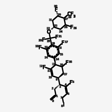 C=CC[C@@H](/C(F)=C\CI)[C@H]1C=C(F)[C@@H](c2cc(F)c(C(F)(F)O[C@H]3CC(F)C(C(F)(F)F)[C@@H](F)C3)c(F)c2)C(F)C1